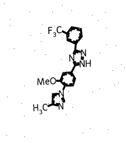 COc1cc(-c2nc(-c3cccc(C(F)(F)F)c3)n[nH]2)ccc1-n1cnc(C)c1